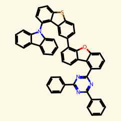 c1ccc(-c2nc(-c3ccccc3)nc(-c3cccc4oc5c(-c6ccc7sc8cccc(-n9c%10ccccc%10c%10ccccc%109)c8c7c6)cccc5c34)n2)cc1